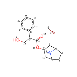 CBr.CN1C2CCC1CC(OC(=O)C(CO)c1ccccc1)C2